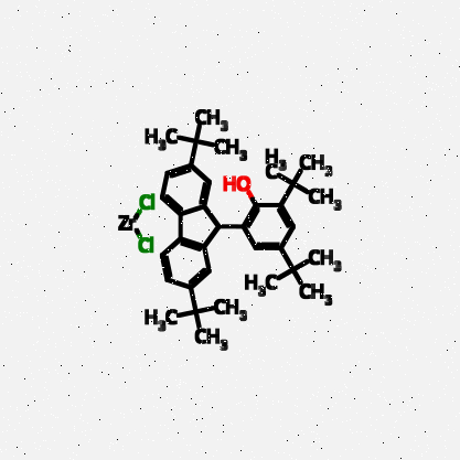 CC(C)(C)c1ccc2c(c1)C(c1cc(C(C)(C)C)cc(C(C)(C)C)c1O)c1cc(C(C)(C)C)ccc1-2.[Cl][Zr][Cl]